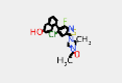 C=CC(=O)N1CCN(c2snc3c(F)c(-c4cccc5cc(O)ccc45)c(Cl)cc23)[C@@H](C)C1